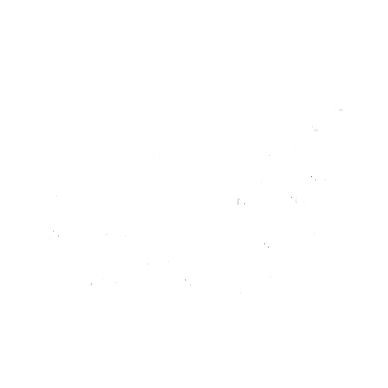 COc1cc2c([nH]c3ccnc(Nc4cc(C5CC5)nn4C)c32)c(F)c1-c1c(C)noc1C